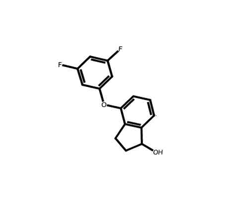 OC1CCc2c1[c]ccc2Oc1cc(F)cc(F)c1